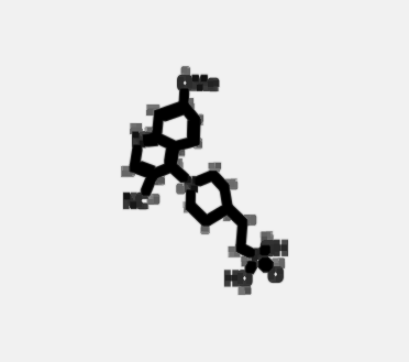 COc1ccc2c(N3CCC(CCP(=O)(O)O)CC3)c(C#N)cnc2c1